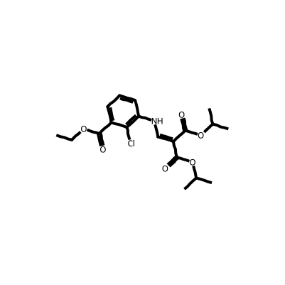 CCOC(=O)c1cccc(NC=C(C(=O)OC(C)C)C(=O)OC(C)C)c1Cl